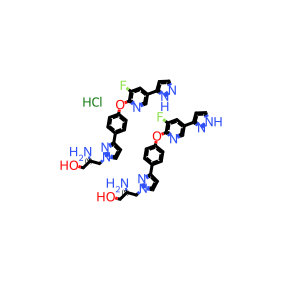 Cl.N[C@H](CO)Cn1ccc(-c2ccc(Oc3ncc(-c4cc[nH]n4)cc3F)cc2)n1.N[C@H](CO)Cn1ccc(-c2ccc(Oc3ncc(-c4ccn[nH]4)cc3F)cc2)n1